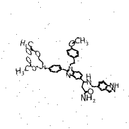 COc1ccc(CCn2c(-c3ccc(N(CCOC(C)=O)CCOC(C)=O)cc3)nc3cc(C(CC(N)=O)NCc4ccc5[nH]ncc5c4)ccc32)cc1